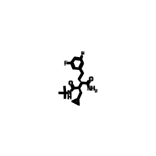 CC(C)(C)NC(=O)[C@H](CC1CC1)[C@H](CCc1cc(F)cc(F)c1)C(N)=O